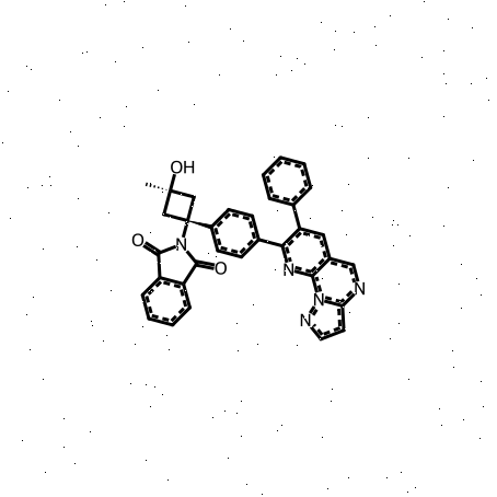 C[C@]1(O)C[C@](c2ccc(-c3nc4c(cnc5ccnn54)cc3-c3ccccc3)cc2)(N2C(=O)c3ccccc3C2=O)C1